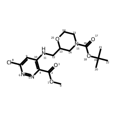 COC(=O)c1nnc(Cl)cc1NCC1CN(C(=O)OC(C)(C)C)CCO1